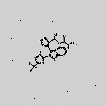 CNC(=O)OC(C)n1cncc1-c1c(-c2nc(C(F)(F)F)n[nH]2)nc2ncccn12